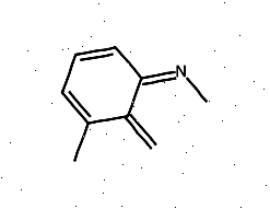 C=C1C(C)=CC=C/C1=N/C